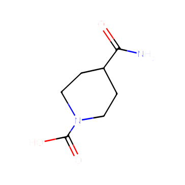 NC(=O)C1CCN(C(=O)O)CC1